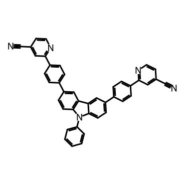 N#Cc1ccnc(-c2ccc(-c3ccc4c(c3)c3cc(-c5ccc(-c6cc(C#N)ccn6)cc5)ccc3n4-c3ccccc3)cc2)c1